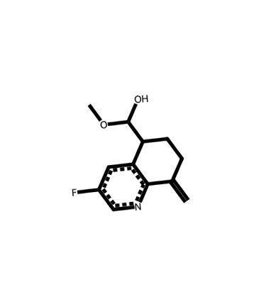 C=C1CCC(C(O)OC)c2cc(F)cnc21